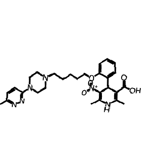 CC1=C(C(=O)O)C(c2ccccc2OCCCCCN2CCN(c3ccc(Cl)nn3)CC2)C([N+](=O)[O-])=C(C)N1